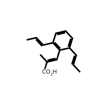 CC=Cc1cccc(C=CC)c1C=C(C)C(=O)O